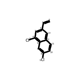 C=Cc1cc(Cl)c2cc(Cl)ccc2c1